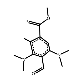 COC(=S)c1cc(N(C)C)c(C=O)c(N(C)C)c1C